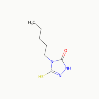 CCCCCn1c(S)n[nH]c1=O